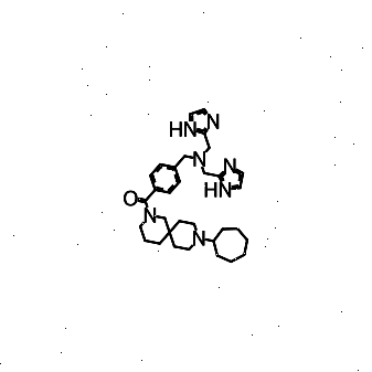 O=C(c1ccc(CN(Cc2ncc[nH]2)Cc2ncc[nH]2)cc1)N1CCCC2(CCN(C3CCCCCC3)CC2)C1